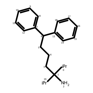 CC(C)C(N)(CCCC(c1ccccc1)c1ccccc1)C(C)C